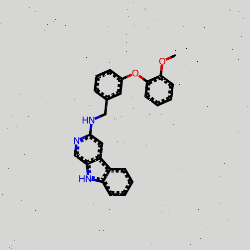 COc1ccccc1Oc1cccc(CNc2cc3c(cn2)[nH]c2ccccc23)c1